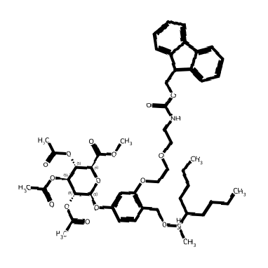 CCCCC(CCCC)[SiH](C)OCc1ccc(O[C@@H]2O[C@H](C(=O)OC)[C@@H](OC(C)=O)[C@H](OC(C)=O)[C@H]2OC(C)=O)cc1OCCOCCNC(=O)OCC1c2ccccc2-c2ccccc21